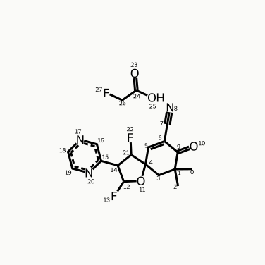 CC1(C)CC2(C=C(C#N)C1=O)OC(F)C(c1cnccn1)C2F.O=C(O)CF